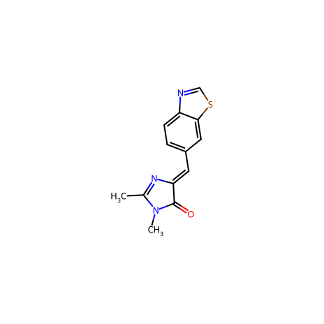 CC1=N/C(=C\c2ccc3ncsc3c2)C(=O)N1C